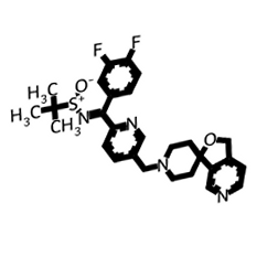 CC(C)(C)[S@@+]([O-])N=C(c1ccc(F)c(F)c1)c1ccc(CN2CCC3(CC2)OCc2ccncc23)cn1